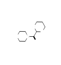 O=C(C1OCCCO1)N1CCSCC1